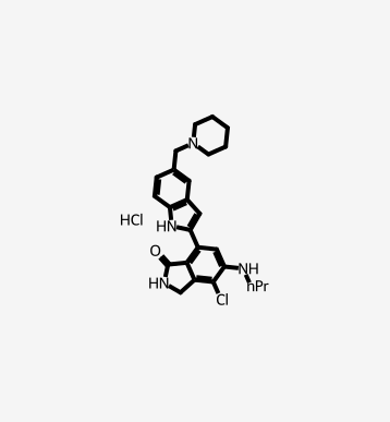 CCCNc1cc(-c2cc3cc(CN4CCCCC4)ccc3[nH]2)c2c(c1Cl)CNC2=O.Cl